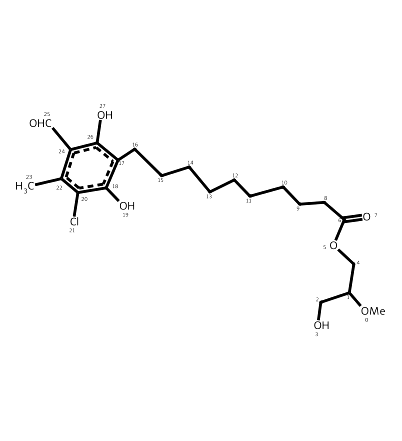 COC(CO)COC(=O)CCCCCCCCCc1c(O)c(Cl)c(C)c(C=O)c1O